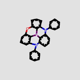 c1ccc(N2c3cccc4c3P3c5c(cccc5N(c5ccccc5)c5cccc2c53)O4)cc1